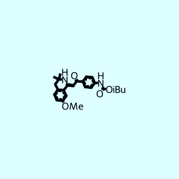 COc1ccc2c(c1)C(=CC(=O)c1ccc(NC(=O)OCC(C)C)cc1)NC(C)(C)C2